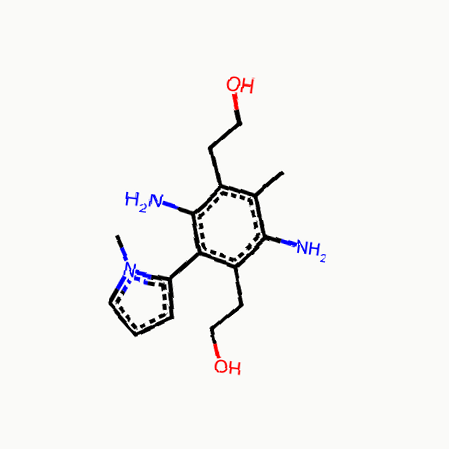 Cc1c(N)c(CCO)c(-c2cccn2C)c(N)c1CCO